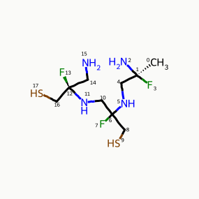 C[C@](N)(F)CNC(F)(CS)CN[C@@](F)(CN)CS